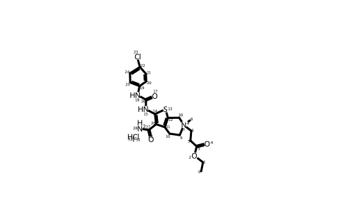 CCOC(=O)CC[N+]1(C)CCc2c(sc(NC(=O)Nc3ccc(Cl)cc3)c2C(N)=O)C1.Cl.[I-]